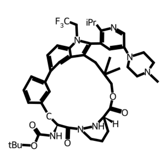 CC(C)c1ncc(N2CCN(C)CC2)cc1-c1c2c3cc(ccc3n1CC(F)(F)F)-c1cccc(c1)C[C@H](NC(=O)OC(C)(C)C)C(=O)N1CCC[C@H](N1)C(=O)OCC(C)(C)C2